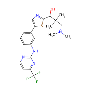 CN(C)CC(C)(C)C(O)c1ncc(-c2cccc(Nc3nccc(C(F)(F)F)n3)c2)s1